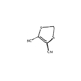 N#CC1=C(C#N)SCS1